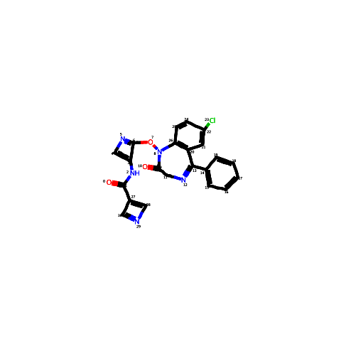 O=C(NC1=CN=C1ON1C(=O)CN=C(c2ccccc2)c2cc(Cl)ccc21)C1=CN=C1